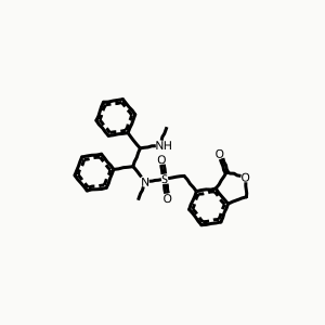 CNC(c1ccccc1)C(c1ccccc1)N(C)S(=O)(=O)Cc1cccc2c1C(=O)OC2